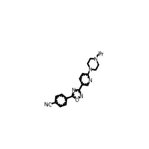 CC(C)N1CCN(c2ccc(-c3noc(-c4ccc(C#N)cc4)n3)cn2)CC1